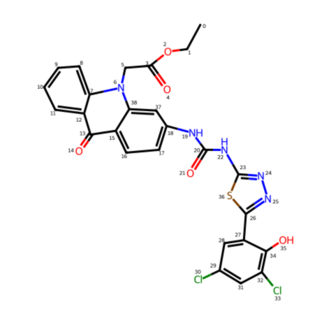 CCOC(=O)Cn1c2ccccc2c(=O)c2ccc(NC(=O)Nc3nnc(-c4cc(Cl)cc(Cl)c4O)s3)cc21